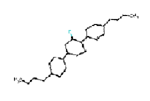 CCCCC1CCC(C2CCC(C3CCC(CCCC)CC3)C(F)C2)CC1